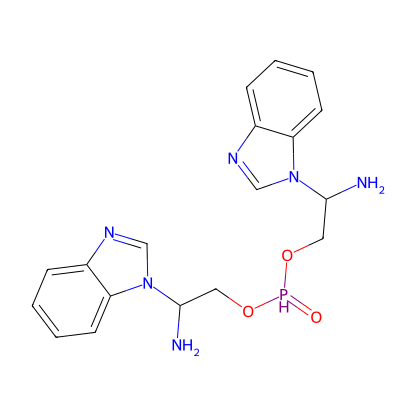 NC(CO[PH](=O)OCC(N)n1cnc2ccccc21)n1cnc2ccccc21